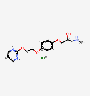 CC(C)NCC(O)COc1ccc(OCCOc2ncccn2)cc1.Cl